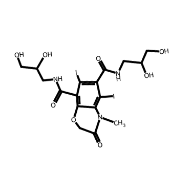 CN1C(=O)COc2c(C(=O)NCC(O)CO)c(I)c(C(=O)NCC(O)CO)c(I)c21